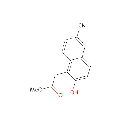 COC(=O)Cc1c(O)ccc2cc(C#N)ccc12